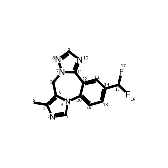 Cc1ncn2c1Cn1ncnc1-c1cc(C(F)F)ccc1-2